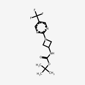 CC(C)(C)OC(=O)NC1CN(c2ncc(C(F)(F)F)cn2)C1